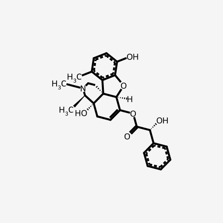 Cc1ccc(O)c2c1[C@]13CCN(C)[C@H](C)[C@]1(O)CC=C(OC(=O)[C@H](O)c1ccccc1)[C@@H]3O2